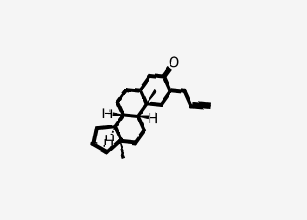 C=CCC1C[C@@]2(C)C(CC[C@@H]3[C@H]2CC[C@]2(C)CCC[C@@H]32)CC1=O